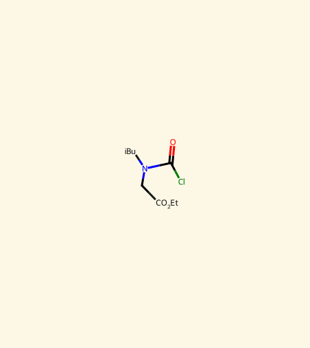 CCOC(=O)CN(C(=O)Cl)C(C)CC